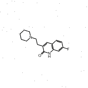 O=c1[nH]c2cc(F)ccc2cc1CCN1CC[CH]CC1